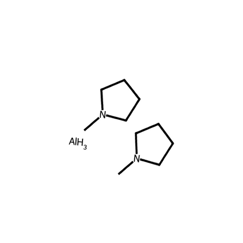 CN1CCCC1.CN1CCCC1.[AlH3]